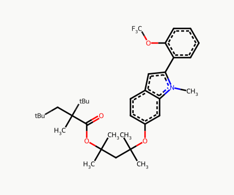 Cn1c(-c2ccccc2OC(F)(F)F)cc2ccc(OC(C)(C)CC(C)(C)OC(=O)C(C)(CC(C)(C)C)C(C)(C)C)cc21